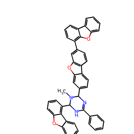 CN1C(c2ccc3c(c2)oc2cc(-c4cccc5c4oc4ccccc45)ccc23)N=C(c2ccccc2)NC1c1cccc2oc3ccccc3c12